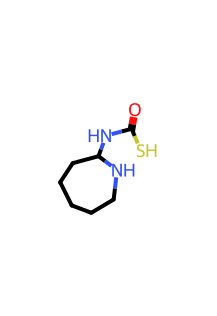 O=C(S)NC1CCCCCN1